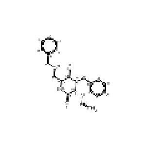 C=CC[C@@H]1C(=O)N[C@@H](COCc2ccccc2)C(=O)N1Cc1ccccc1